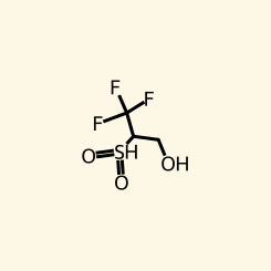 O=[SH](=O)C(CO)C(F)(F)F